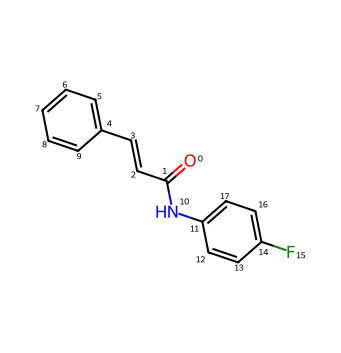 O=C(C=Cc1ccccc1)Nc1ccc(F)cc1